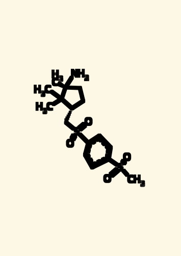 CC1(C)[C@@H](CS(=O)(=O)c2ccc(S(C)(=O)=O)cc2)CC[C@@]1(C)N